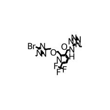 Cn1nc(COCc2nc(C(F)(F)F)ccc2C(=O)Nc2nnnn2C)nc1Br